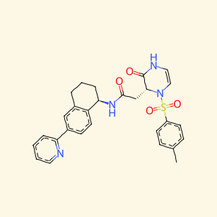 Cc1ccc(S(=O)(=O)N2C=CNC(=O)[C@H]2CC(=O)N[C@@H]2CCCc3cc(-c4ccccn4)ccc32)cc1